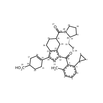 Cc1cccc(C2CC2)c1C(=O)n1nc(C2=CCC(C(=O)O)CC2)c2c1CC(C(=O)N1CCC[C@@H]1CF)CC2